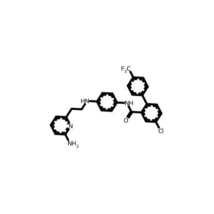 Nc1cccc(CCNc2ccc(NC(=O)c3cc(Cl)ccc3-c3ccc(C(F)(F)F)cc3)cc2)n1